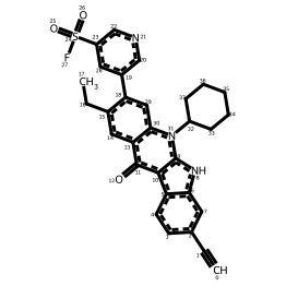 C#Cc1ccc2c(c1)[nH]c1c2c(=O)c2cc(CC)c(-c3cncc(S(=O)(=O)F)c3)cc2n1C1CCCCC1